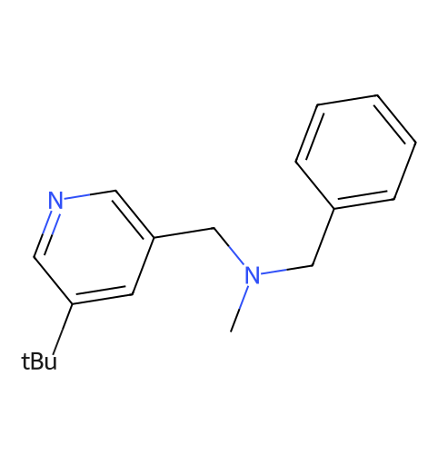 CN(Cc1ccccc1)Cc1cncc(C(C)(C)C)c1